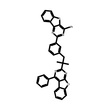 CC(C)c1nc(-c2cccc(CC(C)(C)c3nc(-c4ccccc4)c4c(n3)oc3ccccc34)c2)nc2c1sc1ccccc12